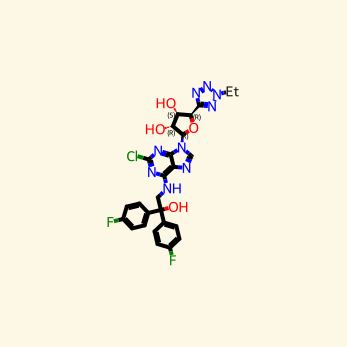 CCn1nnc([C@H]2O[C@@H](n3cnc4c(NCC(O)(c5ccc(F)cc5)c5ccc(F)cc5)nc(Cl)nc43)[C@H](O)[C@@H]2O)n1